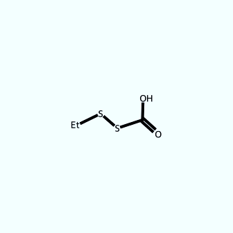 CCSSC(=O)O